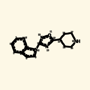 c1cnc2c(c1)ccn2-c1noc(C2CCNCC2)n1